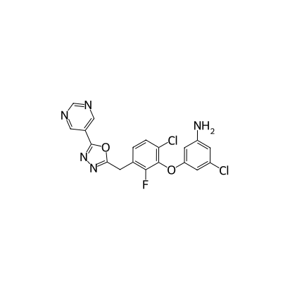 Nc1cc(Cl)cc(Oc2c(Cl)ccc(Cc3nnc(-c4cncnc4)o3)c2F)c1